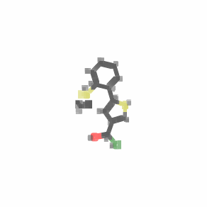 O=C(Cl)c1csc(-c2ccccc2S)c1.[NaH]